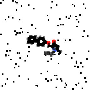 C[C@@H]1CC(=O)[C@H](COC2CCC(c3ccccc3)CC2)N1C(=O)O